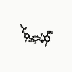 CC(C)(C)c1ccc(F)c(OCCC(C)(C)c2ccc(OC(F)F)cc2F)c1F